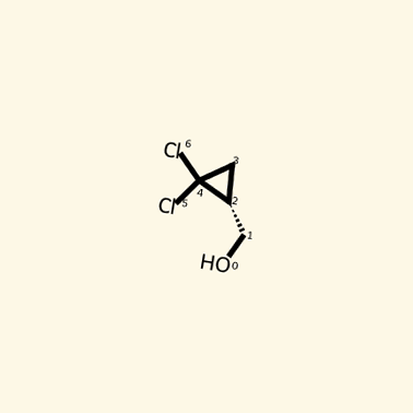 OC[C@H]1CC1(Cl)Cl